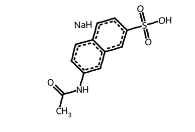 CC(=O)Nc1ccc2ccc(S(=O)(=O)O)cc2c1.[NaH]